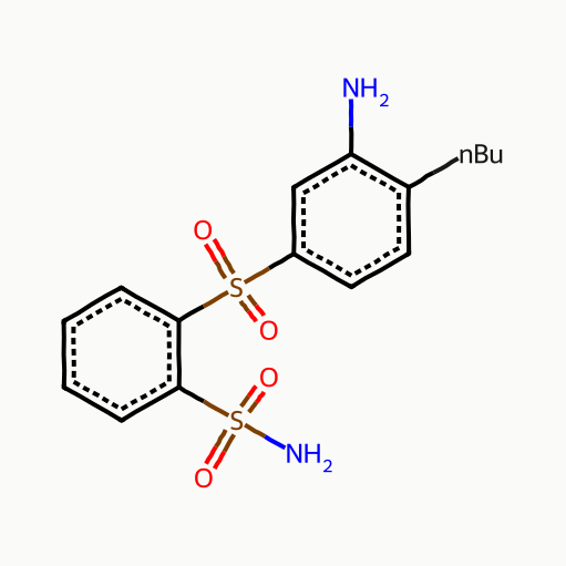 CCCCc1ccc(S(=O)(=O)c2ccccc2S(N)(=O)=O)cc1N